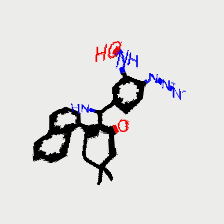 CC1(C)CC(=O)C2=C(C1)c1c(ccc3ccccc13)NC2c1ccc(N=[N+]=[N-])c(NO)c1